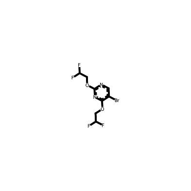 FC(F)COc1ncc(Br)c(OCC(F)F)n1